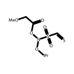 COCC(=O)ON(OC(C)C)S(=O)(=O)C=S